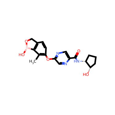 Cc1c(Oc2cnc(C(=O)N[C@@H]3CCC[C@@H]3O)cn2)ccc2c1B(O)OC2